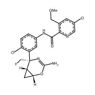 COCc1cc(Cl)cnc1C(=O)Nc1ccc(Cl)c([C@@]2(CF)N=C(N)O[C@@H]3C[C@@H]32)c1